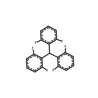 Fc1cccc(F)c1[C](c1c(F)cccc1F)c1c(F)cccc1F